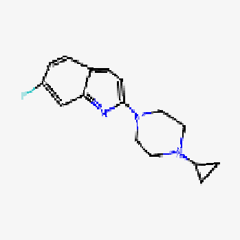 Fc1ccc2ccc(N3CCN(C4CC4)CC3)nc2c1